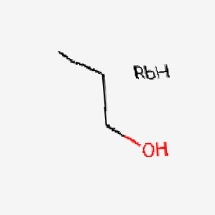 CCCO.[RbH]